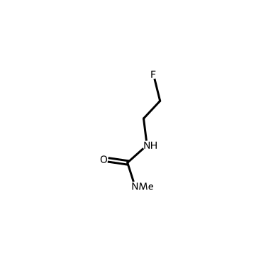 CNC(=O)NCCF